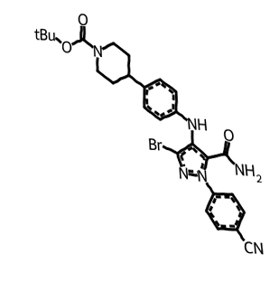 CC(C)(C)OC(=O)N1CCC(c2ccc(Nc3c(Br)nn(-c4ccc(C#N)cc4)c3C(N)=O)cc2)CC1